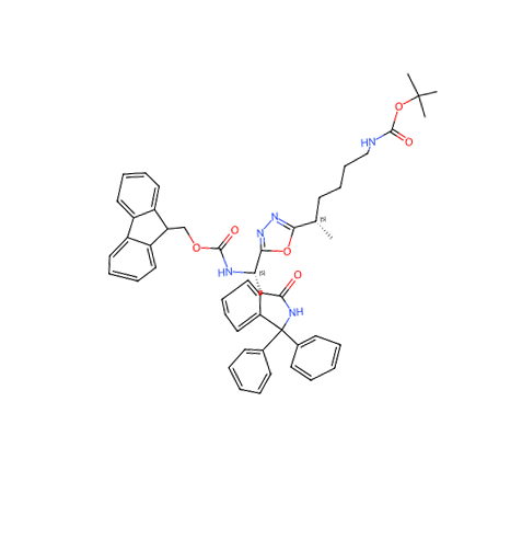 C[C@@H](CCCCNC(=O)OC(C)(C)C)c1nnc([C@H](CC(=O)NC(c2ccccc2)(c2ccccc2)c2ccccc2)NC(=O)OCC2c3ccccc3-c3ccccc32)o1